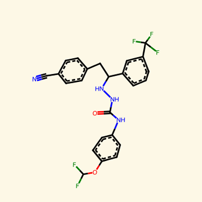 N#Cc1ccc(CC(NNC(=O)Nc2ccc(OC(F)F)cc2)c2cccc(C(F)(F)F)c2)cc1